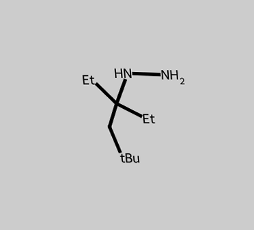 CCC(CC)(CC(C)(C)C)NN